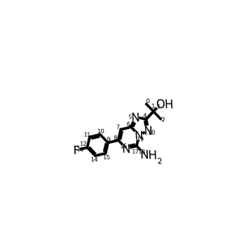 CC(C)(O)c1nc2cc(-c3ccc(F)cc3)nc(N)n2n1